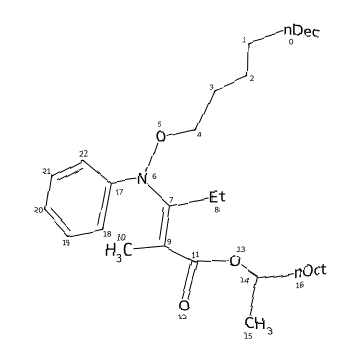 CCCCCCCCCCCCCCON(C(CC)=C(C)C(=O)OC(C)CCCCCCCC)c1ccccc1